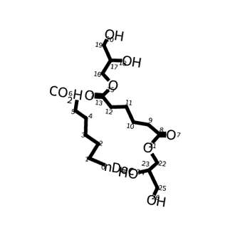 CCCCCCCCCCCCCCCC(=O)O.O=C(CCCCC(=O)OCC(O)CO)OCC(O)CO